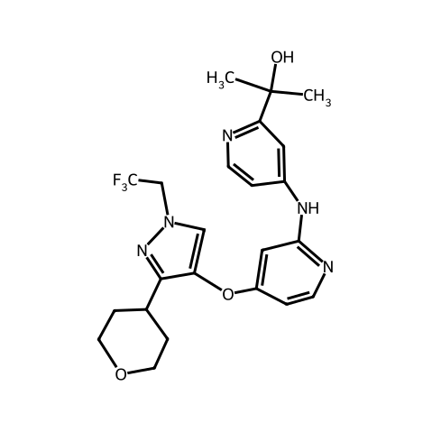 CC(C)(O)c1cc(Nc2cc(Oc3cn(CC(F)(F)F)nc3C3CCOCC3)ccn2)ccn1